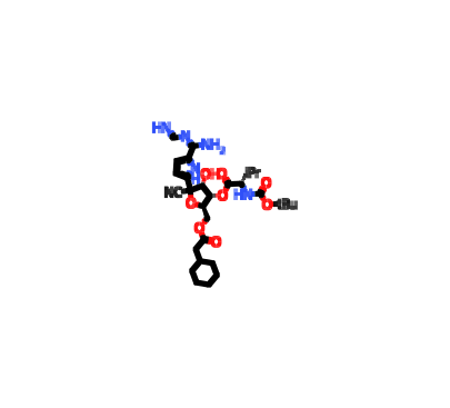 CC(C)[C@H](NC(=O)OC(C)(C)C)C(=O)O[C@H]1[C@@H](O)C(C#N)(c2ccc(/C(N)=N\C=N)[nH]2)O[C@@H]1COC(=O)CC1CCCCC1